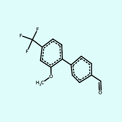 COc1cc(C(F)(F)F)ccc1-c1ccc(C=O)cc1